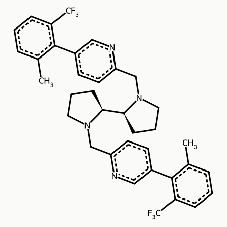 Cc1cccc(C(F)(F)F)c1-c1ccc(CN2CCC[C@H]2[C@@H]2CCCN2Cc2ccc(-c3c(C)cccc3C(F)(F)F)cn2)nc1